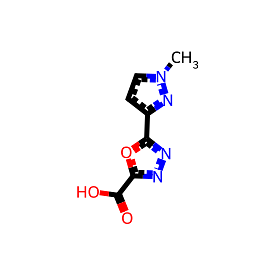 Cn1ccc(-c2nnc(C(=O)O)o2)n1